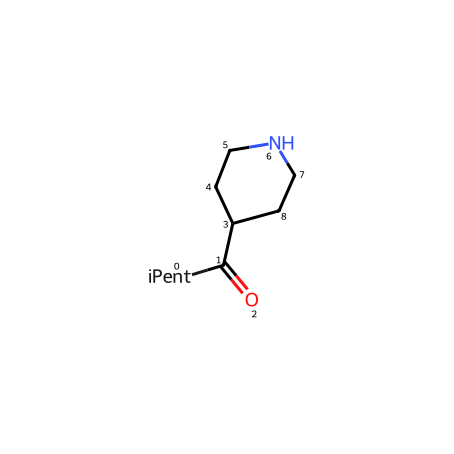 CCCC(C)C(=O)C1CCNCC1